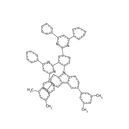 Cc1cc(C)cc(-c2ccc3c(c2)c2cc(-c4cc(C)cc(C)c4)ccc2n3-c2ccc(-c3nc(-c4ccccc4)cc(-c4ccccc4)n3)cc2-c2nc(-c3ccccc3)cc(-c3ccccc3)n2)c1